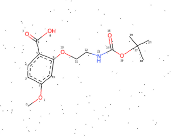 COc1ccc(C(=O)O)c(OCCNC(=O)OC(C)(C)C)c1